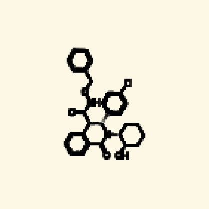 O=C(NOCc1ccccc1)[C@@H]1c2ccccc2C(=O)N([C@@H]2CCCC[C@H]2O)[C@H]1c1ccc(Cl)cc1